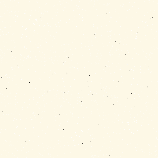 CC(C)c1cc(Cl)cc(CCC(C)(C)c2ccc(Cl)c(C(F)(F)F)c2)c1